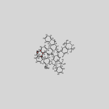 Cc1cc2c(cc1N1c3cc4c(cc3B3c5c1cc1sc6ccccc6c1c5-c1ccc5oc6ccccc6c5c1N3c1ccc(C(C)(C)C)cc1-c1ccccc1)C(C)(C)c1ccccc1C4(C)C)C(C)(C)CCC2(C)C